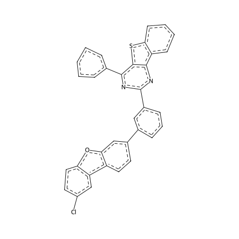 Clc1ccc2oc3cc(-c4cccc(-c5nc(-c6ccccc6)c6sc7ccccc7c6n5)c4)ccc3c2c1